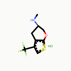 CN[C@H]1COc2scc(C(F)(F)F)c2C1.Cl